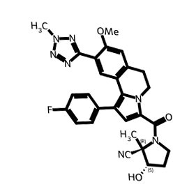 COc1cc2c(cc1-c1nnn(C)n1)-c1c(-c3ccc(F)cc3)cc(C(=O)N3CC[C@H](O)[C@@]3(C)C#N)n1CC2